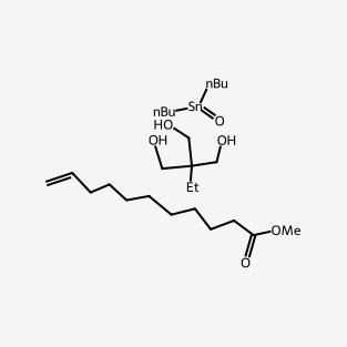 C=CCCCCCCCCC(=O)OC.CCC(CO)(CO)CO.CCC[CH2][Sn](=[O])[CH2]CCC